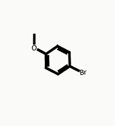 COc1[c]cc(Br)cc1